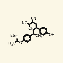 CCOC(C)Oc1ccc(C(C)CC(CC(C#N)C(C)C#N)c2ccc(O)cc2)cc1